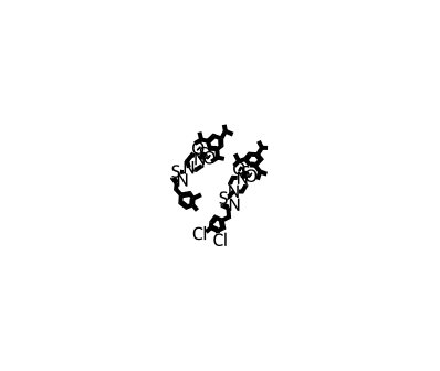 CC(C)c1cc(C(C)C)c(S(=O)(=O)N2CCN(c3nc(Cc4ccc(Cl)c(Cl)c4)cs3)CC2)c(C(C)C)c1.Cc1ccc(Cc2csc(N3CCN(S(=O)(=O)c4c(C(C)C)cc(C(C)C)cc4C(C)C)CC3)n2)cc1C